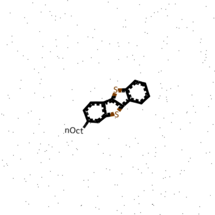 CCCCCCCCc1ccc2c(c1)sc1c3ccccc3sc21